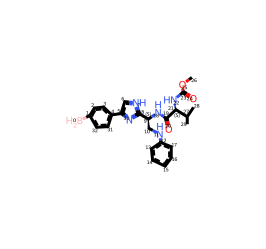 Bc1ccc(-c2c[nH]c([C@H](CNc3ccccc3)NC(=O)[C@@H](NC(=O)OC)C(C)C)n2)cc1